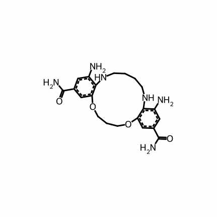 NC(=O)c1cc(N)c2c(c1)OCCCOc1cc(C(N)=O)cc(N)c1NCCCCN2